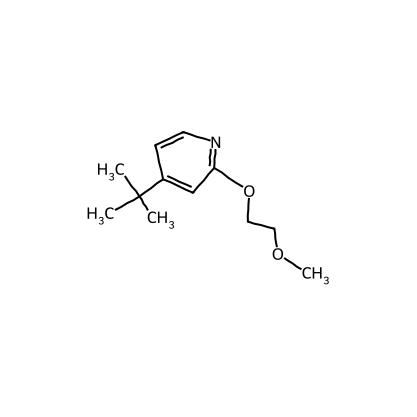 COCCOc1cc(C(C)(C)C)ccn1